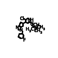 CN(C)C(C)(C)CNc1cc(-c2ccc3ncn(Cc4cccc(F)c4)c3c2)c(Cl)cn1